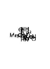 COc1cc(C(N)=O)ccc1Nc1nc(OC2CCCC2)c2c(-c3ccc4nc(C)oc4c3)c[nH]c2n1